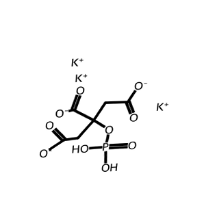 O=C([O-])CC(CC(=O)[O-])(OP(=O)(O)O)C(=O)[O-].[K+].[K+].[K+]